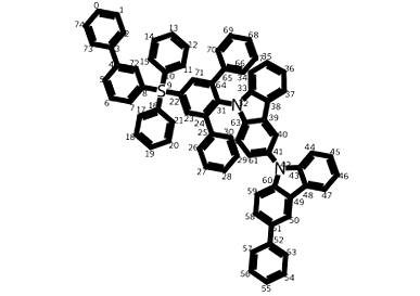 c1ccc(-c2cccc(S(c3ccccc3)(c3ccccc3)c3cc(-c4ccccc4)c(-n4c5ccccc5c5cc(-n6c7ccccc7c7cc(-c8ccccc8)ccc76)ccc54)c(-c4ccccc4)c3)c2)cc1